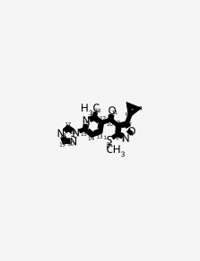 CSc1noc(C2CC2)c1C(=O)c1ccc(-n2cncn2)nc1C